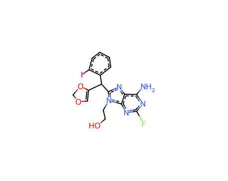 Nc1nc(F)nc2c1nc(C(C1=COCO1)c1ccccc1I)n2CCO